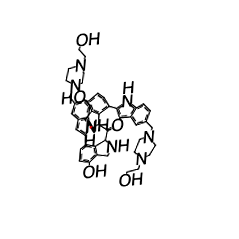 O=C(C1NCc2c(O)ccc(-c3cc4cc(CN5CCN(CCO)CC5)ccc4[nH]3)c21)C1NCc2c(O)ccc(-c3cc4cc(CN5CCN(CCO)CC5)ccc4[nH]3)c21